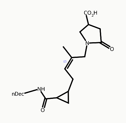 CCCCCCCCCCNC(=O)C1CC1C/C=C(/C)CN1CC(C(=O)O)CC1=O